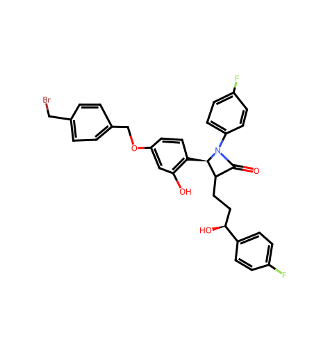 O=C1C(CC[C@H](O)c2ccc(F)cc2)[C@@H](c2ccc(OCc3ccc(CBr)cc3)cc2O)N1c1ccc(F)cc1